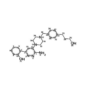 Nc1nnc(-c2ccccc2O)cc1N1CCN(Cc2ccc(CCCO)cc2)CC1